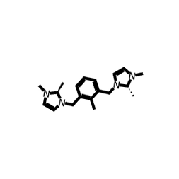 Cc1c(CN2C=CN(C)[C@H]2C)cccc1CN1C=CN(C)[C@@H]1C